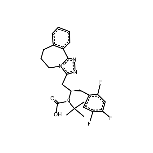 CC(C)(C)N(C(=O)O)[C@H](Cc1cc(F)c(F)cc1F)Cc1nnc2n1CCCc1ccccc1-2